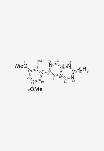 COc1cc(OC)c(F)c(-c2cc3cnc(C)nc3cn2)c1